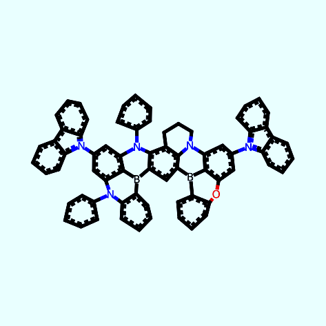 c1ccc(N2c3ccccc3B3c4cc5c6c(c4N(c4ccccc4)c4cc(-n7c8ccccc8c8ccccc87)cc2c43)CCCN6c2cc(-n3c4ccccc4c4ccccc43)cc3c2B5c2ccccc2O3)cc1